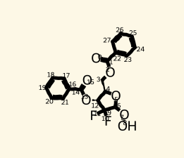 O=C(OC[C@H]1OC(OO)C(F)(F)[C@@H]1OC(=O)c1ccccc1)c1ccccc1